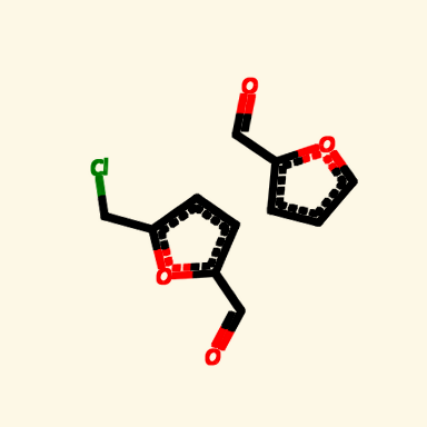 O=Cc1ccc(CCl)o1.O=Cc1ccco1